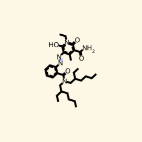 CCCCC(CC)CN(CC(CC)CCCC)C(=O)c1ccccc1/N=N/c1c(C)c(C(N)=O)c(=O)n(CC)c1O